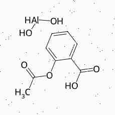 CC(=O)Oc1ccccc1C(=O)O.[OH][AlH][OH]